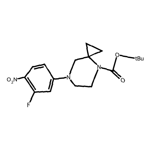 CC(C)(C)OC(=O)N1CCN(c2ccc([N+](=O)[O-])c(F)c2)CC12CC2